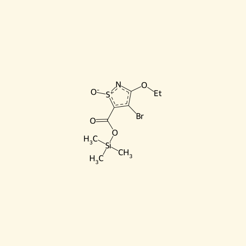 CCOc1n[s+]([O-])c(C(=O)O[Si](C)(C)C)c1Br